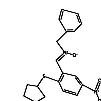 O=[N+]([O-])c1ccc(SC2CCCC2)c(C=[N+]([O-])Cc2ccccc2)c1